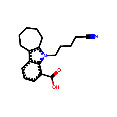 N#CCCCCn1c2c(c3cccc(C(=O)O)c31)CCCCC2